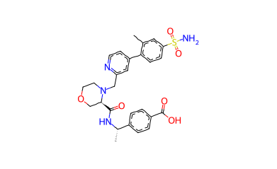 Cc1cc(S(N)(=O)=O)ccc1-c1ccnc(CN2CCOC[C@@H]2C(=O)N[C@@H](C)c2ccc(C(=O)O)cc2)c1